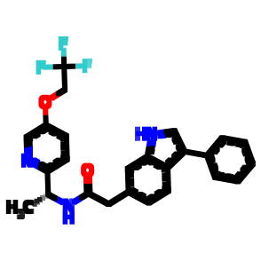 C[C@@H](NC(=O)Cc1ccc2c(-c3ccccc3)c[nH]c2c1)c1ccc(OCC(F)(F)F)cn1